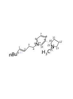 CCCC/C=C/CC[n+]1cccc([C@@H]2CCCN2C)c1